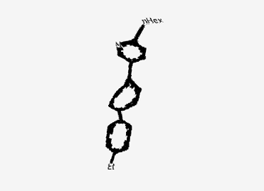 CCCCCCc1ccc(-c2ccc(-c3ccc(CC)cc3)cc2)cn1